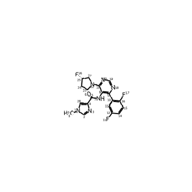 Cn1cnc(C(=O)Nc2c(-c3cc(F)ccc3F)ncnc2N2CC[C@H](F)C2)c1